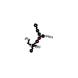 CCCCCCc1ccc(N(c2ccc(-c3ccc(C=Cc4ccccc4)cc3)cc2)c2ccc(-c3ccc(C=Cc4cc(OCCC(C)CCCC(C)C)c(C=Cc5ccccc5)cc4CO)cc3)cc2)cc1